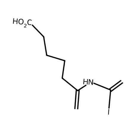 C=C(I)NC(=C)CCCCC(=O)O